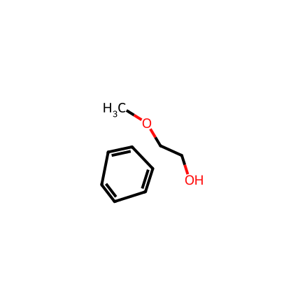 COCCO.c1ccccc1